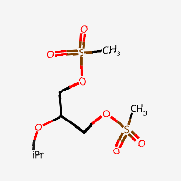 CC(C)OC(COS(C)(=O)=O)COS(C)(=O)=O